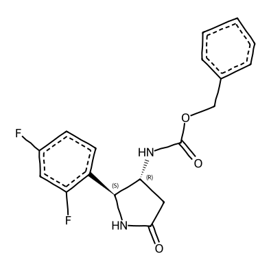 O=C1C[C@@H](NC(=O)OCc2ccccc2)[C@H](c2ccc(F)cc2F)N1